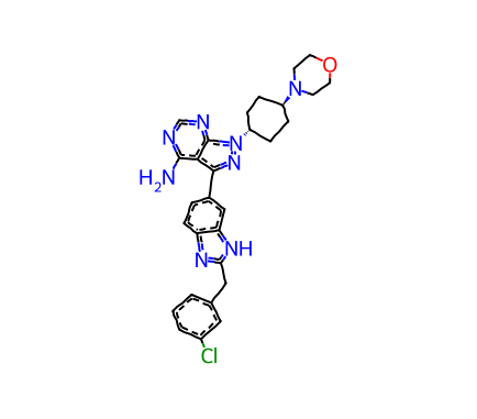 Nc1ncnc2c1c(-c1ccc3nc(Cc4cccc(Cl)c4)[nH]c3c1)nn2[C@H]1CC[C@H](N2CCOCC2)CC1